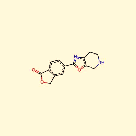 O=C1OCc2cc(-c3nc4c(o3)CNCC4)ccc21